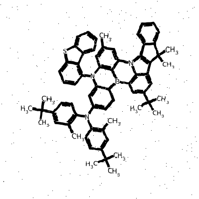 Cc1cc2c3c(c1)-n1c4c(c5cc(C(C)(C)C)cc(c51)B3C1CC=C(N(c3ccc(C(C)(C)C)cc3C)c3ccc(C(C)(C)C)cc3C)C=C1N2c1cccc2sc3ccccc3c12)C(C)(C)c1ccccc1-4